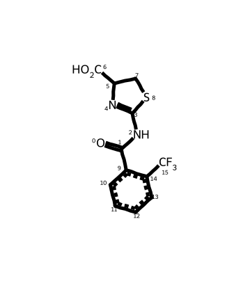 O=C(NC1=NC(C(=O)O)CS1)c1ccccc1C(F)(F)F